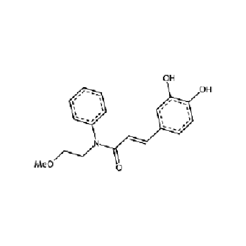 COCCN(C(=O)/C=C/c1ccc(O)c(O)c1)c1ccccc1